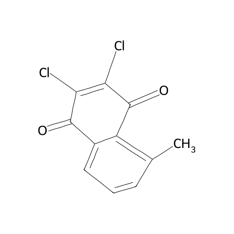 Cc1cccc2c1C(=O)C(Cl)=C(Cl)C2=O